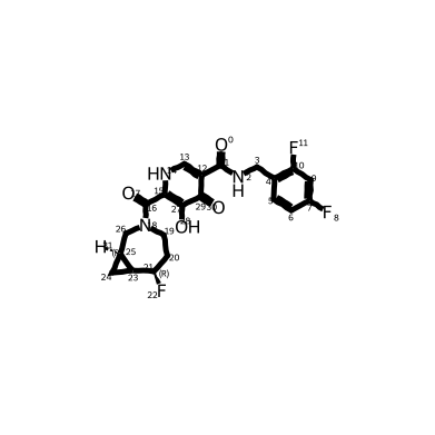 O=C(NCc1ccc(F)cc1F)c1c[nH]c(C(=O)N2CC[C@@H](F)C3C[C@H]3C2)c(O)c1=O